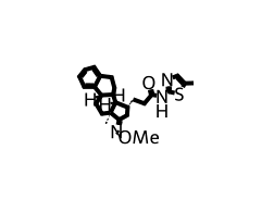 CO/N=C1\C[C@@H](CCC(=O)Nc2ncc(C)s2)[C@H]2[C@@H]3CCc4ccccc4[C@H]3CC[C@]12C